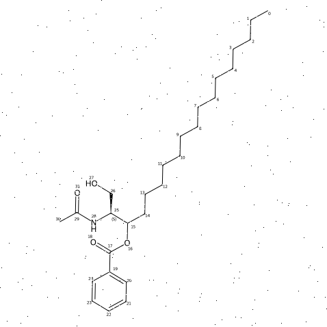 CCCCCCCCCCCCCCCC(OC(=O)c1ccccc1)[C@H](CO)NC(C)=O